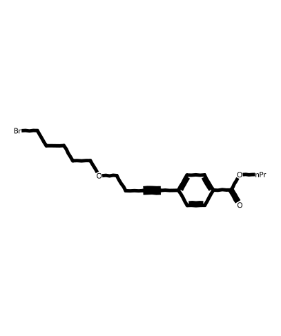 CCCOC(=O)c1ccc(C#CCCOCCCCCBr)cc1